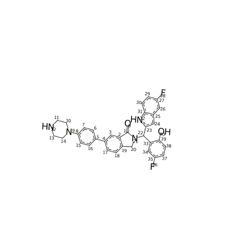 O=C1c2cc(-c3ccc(N4CCNCC4)cc3)ccc2CN1C(c1cc2cc(F)ccc2[nH]1)c1cc(F)ccc1O